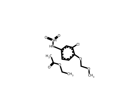 CCOC(C)=O.COCOc1ccc(N[SH](=O)=O)cc1Cl